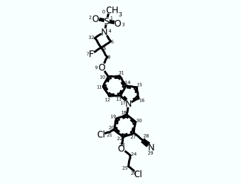 CS(=O)(=O)N1CC(F)(COc2ccc3c(ccn3-c3cc(Cl)c(OCCCl)c(C#N)c3)c2)C1